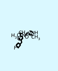 C[C@@H]1CN(CC(=O)N2CC(C)(C)c3ncc(Cc4ccc(F)cc4)cc32)CCN1